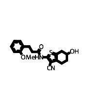 COc1ccccc1CCC(=O)Nc1sc2c(c1C#N)CCC(O)C2